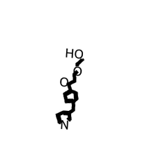 O=C(CCOCCO)c1ccc(Cc2cccnc2)cc1